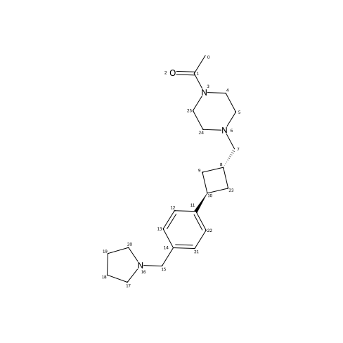 CC(=O)N1CCN(C[C@H]2C[C@H](c3ccc(CN4CCCC4)cc3)C2)CC1